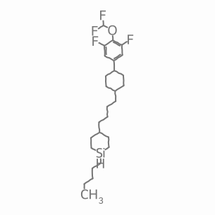 CCCCC[SiH]1CCC(CCCCC2CCC(c3cc(F)c(OC(F)F)c(F)c3)CC2)CC1